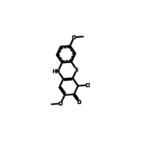 COC1=CC2=C(Sc3cc(OC)ccc3N2)C(Cl)C1=O